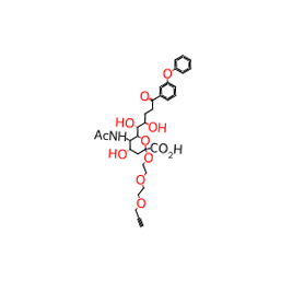 C#CCOCCOCCO[C@]1(C(=O)O)C[C@H](O)[C@@H](NC(C)=O)C([C@H](O)[C@H](O)CCC(=O)c2cccc(Oc3ccccc3)c2)O1